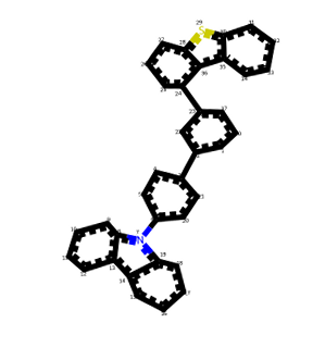 c1cc(-c2ccc(-n3c4ccccc4c4ccccc43)cc2)cc(-c2cccc3sc4ccccc4c23)c1